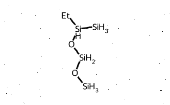 CC[SiH]([SiH3])O[SiH2]O[SiH3]